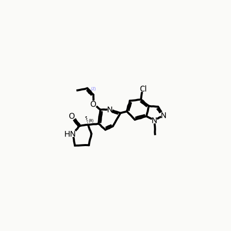 C/C=C\Oc1nc(-c2cc(Cl)c3cnn(C)c3c2)ccc1[C@@]1(C)CCCNC1=O